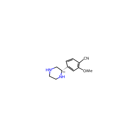 COc1cc([C@H]2CNCCN2)ccc1C#N